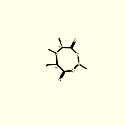 CB1OC(=O)[C@@H](C)N(C)[C@@H](C)C(=O)O1